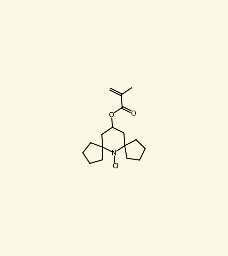 C=C(C)C(=O)OC1CC2(CCCC2)N(Cl)C2(CCCC2)C1